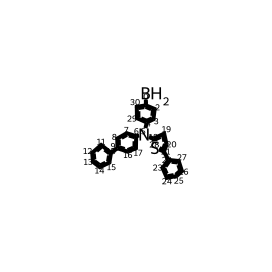 Bc1ccc(N(c2ccc(-c3ccccc3)cc2)c2ccc(-c3ccccc3)s2)cc1